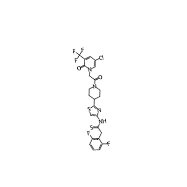 O=C(Cn1cc(Cl)cc(C(F)(F)F)c1=O)N1CCC(c2nc(NC(=S)Cc3c(F)cccc3F)cs2)CC1